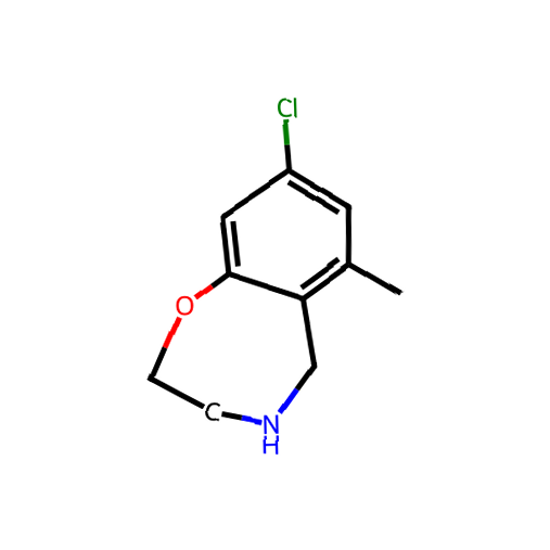 Cc1cc(Cl)cc2c1CNCCO2